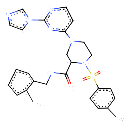 COc1ccc(S(=O)(=O)N2CCN(c3ccnc(-n4ccnc4)n3)CC2C(=O)NCc2ccccc2OC)cc1